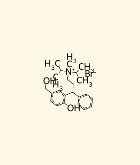 CC(C)[N+](C)(CC[C@H](c1ccccc1)c1cc(CO)ccc1O)C(C)C.[Br-]